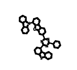 c1ccc(-c2nc(-c3ccc4c(c3)oc3c(-n5c6ccccc6c6ccccc65)cccc34)nc(-c3cccc4sc5ccccc5c34)n2)cc1